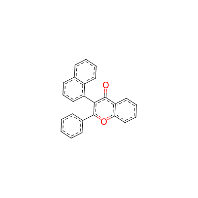 O=c1c(-c2cccc3ccccc23)c(-c2ccccc2)oc2ccccc12